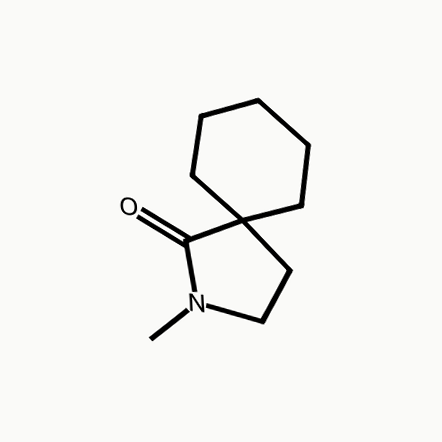 CN1CCC2(CCCCC2)C1=O